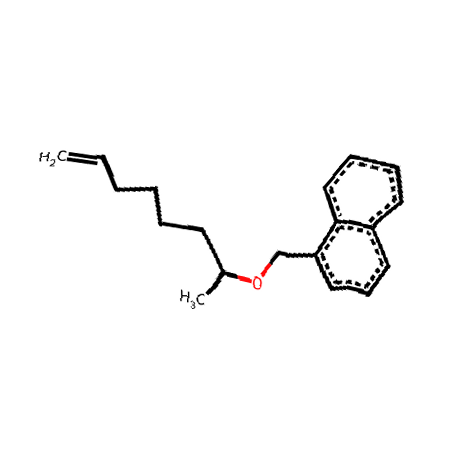 C=CCCCCC(C)OCc1cccc2ccccc12